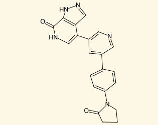 O=C1CCCN1c1ccc(-c2cncc(-c3c[nH]c(=O)c4[nH]ncc34)c2)cc1